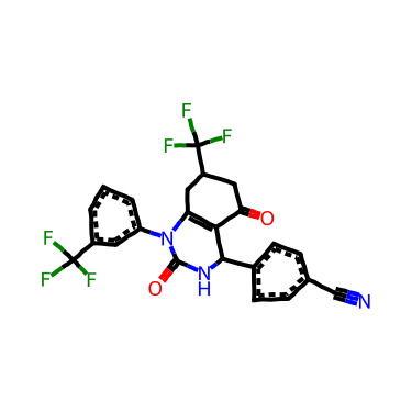 N#Cc1ccc(C2NC(=O)N(c3cccc(C(F)(F)F)c3)C3=C2C(=O)CC(C(F)(F)F)C3)cc1